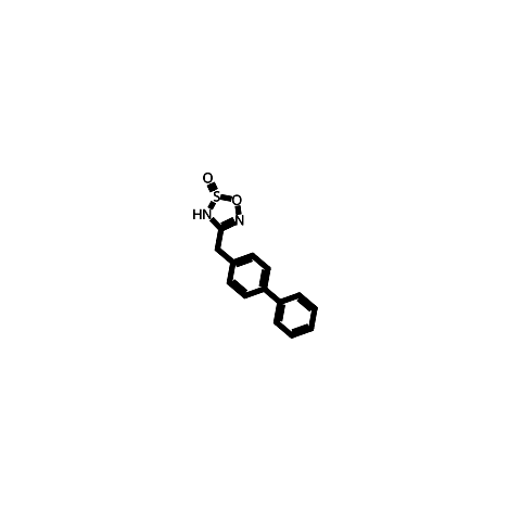 O=S1NC(Cc2ccc(-c3ccccc3)cc2)=NO1